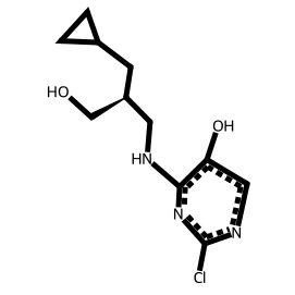 OC[C@H](CNc1nc(Cl)ncc1O)CC1CC1